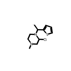 [CH2]C(c1cccs1)N1CCN(C)CC1Cl